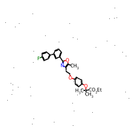 CCOC(=O)C(C)(C)Oc1ccc(OCCc2nc(-c3cccc(-c4ccc(F)cc4)c3)oc2C)cc1